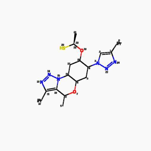 CC(C)c1cn(C2CC3OC(C)c4c(C(C)C)nnn4C3CC2O[C@H](C)S)nn1